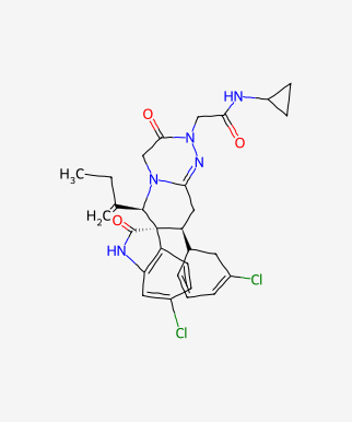 C=C(CC)[C@H]1N2CC(=O)N(CC(=O)NC3CC3)N=C2C[C@@H](C2C=CC=C(Cl)C2)[C@]12C(=O)Nc1cc(Cl)ccc12